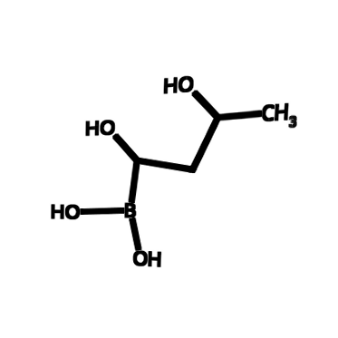 CC(O)CC(O)B(O)O